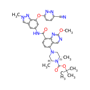 COc1ncc2c(N3C[C@@H](C)N(C(=O)OC(C)(C)C)[C@@H](C)C3)ccc(C(=O)Nc3cc(Oc4ccc(C#N)nn4)c4nn(C)cc4c3)c2n1